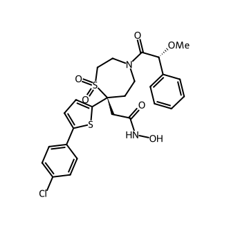 CO[C@@H](C(=O)N1CC[C@](CC(=O)NO)(c2ccc(-c3ccc(Cl)cc3)s2)S(=O)(=O)CC1)c1ccccc1